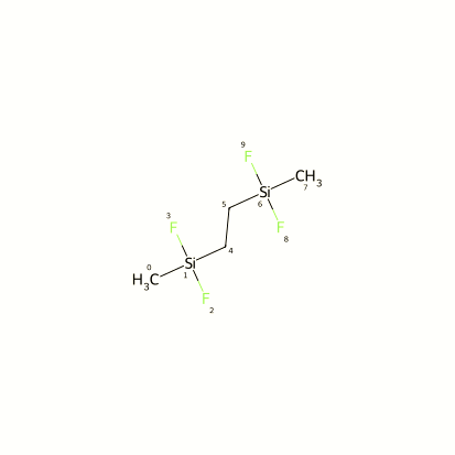 C[Si](F)(F)CC[Si](C)(F)F